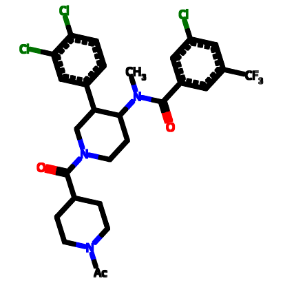 CC(=O)N1CCC(C(=O)N2CCC(N(C)C(=O)c3cc(Cl)cc(C(F)(F)F)c3)C(c3ccc(Cl)c(Cl)c3)C2)CC1